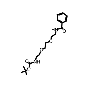 CC(C)(C)OC(=O)NCCOCCOCCNC(=O)c1c[c]ccc1